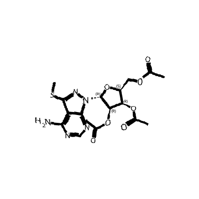 CSc1nn([C@@H]2O[C@@H](COC(C)=O)[C@@H](OC(C)=O)[C@H]2OC(C)=O)c2ncnc(N)c12